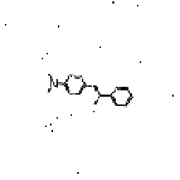 C/C(=C\c1ccc(N(C)C)cc1)c1ccccc1